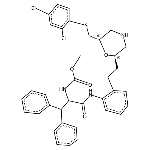 COC(=O)NC(C(=O)Nc1ccccc1CC[C@@H]1CNC[C@@H](CSc2ccc(Cl)cc2Cl)O1)C(c1ccccc1)c1ccccc1